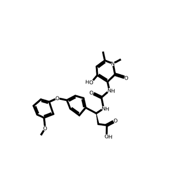 COc1cccc(Oc2ccc([C@H](CC(=O)O)NC(=O)Nc3c(O)cc(C)n(C)c3=O)cc2)c1